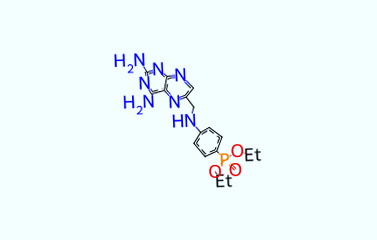 CCOP(=O)(OCC)c1ccc(NCc2cnc3nc(N)nc(N)c3n2)cc1